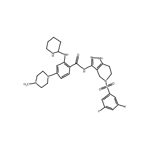 CN1CCN(c2ccc(C(=O)Nc3n[nH]c4c3CN(S(=O)(=O)c3cc(F)cc(F)c3)CC4)c(NC3CCCCN3)c2)CC1